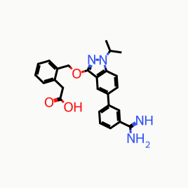 CC(C)n1nc(OCc2ccccc2CC(=O)O)c2cc(-c3cccc(C(=N)N)c3)ccc21